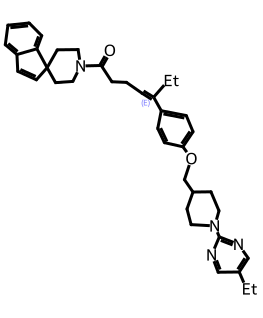 CC/C(=C\CCC(=O)N1CCC2(C=Cc3ccccc32)CC1)c1ccc(OCC2CCN(c3ncc(CC)cn3)CC2)cc1